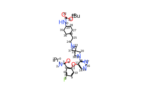 CC(C)N(C)C(=O)c1cc(F)ccc1Oc1cncnc1N1CC2(CN(CCC3CCC(NC(=O)OC(C)(C)C)CC3)C2)C1